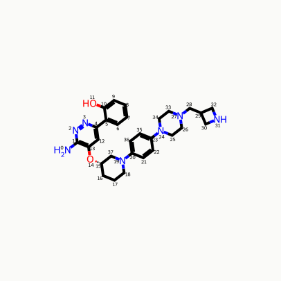 Nc1nnc(-c2ccccc2O)cc1O[C@H]1CCCN(c2ccc(N3CCN(CC4CNC4)CC3)cc2)C1